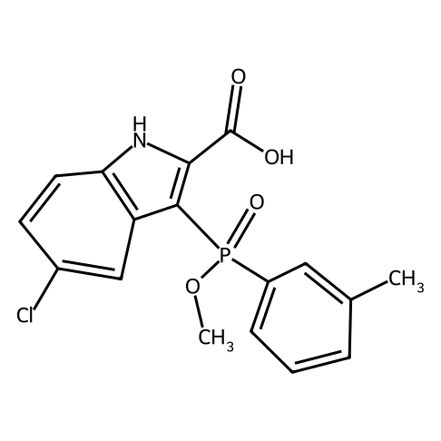 COP(=O)(c1cccc(C)c1)c1c(C(=O)O)[nH]c2ccc(Cl)cc12